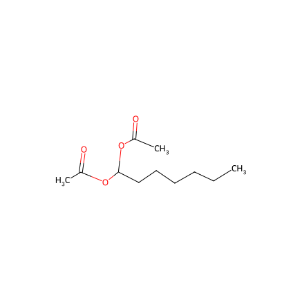 CCCCCCC(OC(C)=O)OC(C)=O